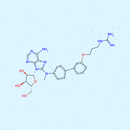 CN(c1ccc(-c2cccc(OCCCNC(=N)N)c2)cc1)c1nc2c(N)ncnc2n1[C@@H]1O[C@H](CO)[C@@H](O)[C@H]1O